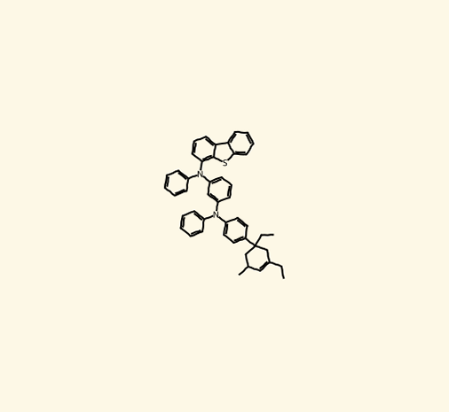 CCC1=CC(C)CC(CC)(c2ccc(N(c3ccccc3)c3cccc(N(c4ccccc4)c4cccc5c4sc4ccccc45)c3)cc2)C1